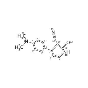 CN(C)c1ccc(-c2nc[nH]c(=O)c2C#N)cc1